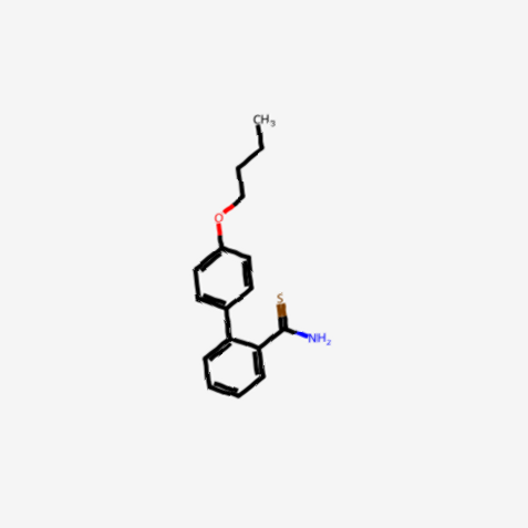 CCCCOc1ccc(-c2ccccc2C(N)=S)cc1